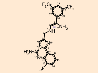 N/C(=C\NCc1cn2c(N)nc3c(F)cccc3c2n1)c1cc(C(F)(F)F)cc(C(F)(F)F)c1